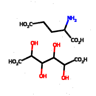 NC(CCC(=O)O)C(=O)O.O=C(O)C(O)C(O)C(O)C(O)C(=O)O